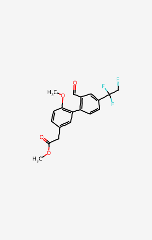 COC(=O)Cc1ccc(OC)c(-c2ccc(C(F)(F)CF)cc2C=O)c1